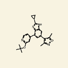 Cc1noc(C)c1-c1cc(-c2ccnc(OC(C)(C)C)c2)c2nc(C3CC3)[nH]c2c1